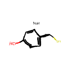 Oc1ccc(CS)cc1.[NaH]